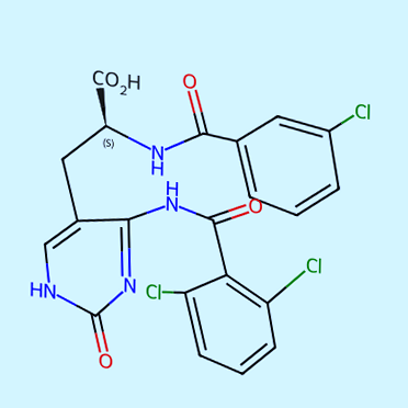 O=C(N[C@@H](Cc1c[nH]c(=O)nc1NC(=O)c1c(Cl)cccc1Cl)C(=O)O)c1cccc(Cl)c1